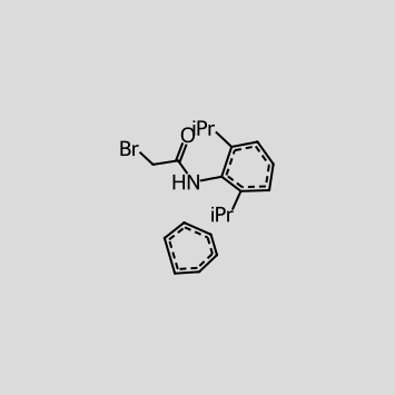 CC(C)c1cccc(C(C)C)c1NC(=O)CBr.c1ccccc1